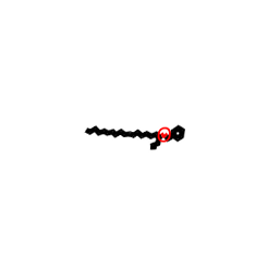 C=CCC(CCCCCCCCCCCCCCCCC)OCc1ccccc1